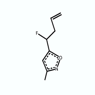 C=CCC(F)c1cc(C)no1